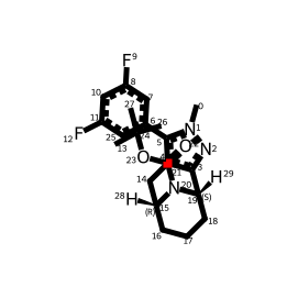 Cn1nc2c(c1-c1cc(F)cc(F)c1)C[C@H]1CCC[C@@H]2N1C(=O)OC(C)(C)C